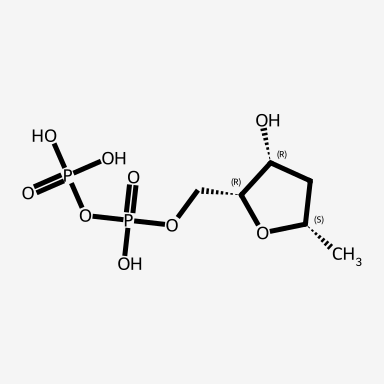 C[C@H]1C[C@@H](O)[C@@H](COP(=O)(O)OP(=O)(O)O)O1